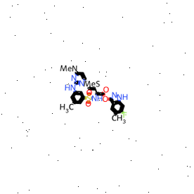 CNc1ccnc(Nc2cc(C)cc(S(=O)(=O)N[C@@H](CCSC)C(=O)Oc3n[nH]c4cc(F)c(C)cc34)c2)n1